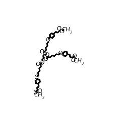 COC(=O)C=Cc1ccc(OCCCCCC(=O)OCC(COC(=O)CCCCCOc2ccc(C=CC(=O)OC)cc2)OC(=O)CCCCCOc2ccc(C=CC(=O)OC)cc2)cc1